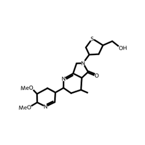 COC1CC(C2CC(C)C3C(=O)N(C4CSC(CO)C4)CC3=N2)C=NC1OC